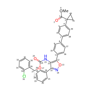 COC(=O)C1(c2ccc(-c3ccc(-c4onc(-c5ccccc5)c4NC(=O)O[C@H](C)c4ccccc4Cl)cc3)cc2)CC1